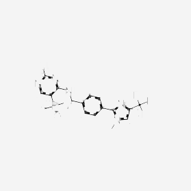 Cn1cc(C(F)(F)F)nc1-c1ccc(CNc2nc(Cl)ncc2P(C)(C)=O)cc1